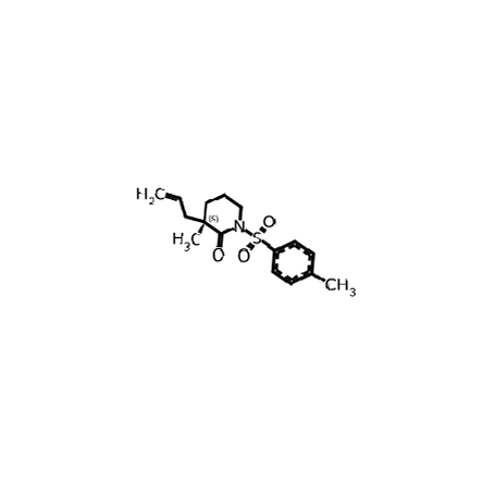 C=CC[C@]1(C)CCCN(S(=O)(=O)c2ccc(C)cc2)C1=O